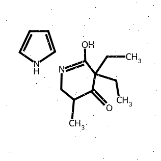 CCC1(CC)C(=O)C(C)CN=C1O.c1cc[nH]c1